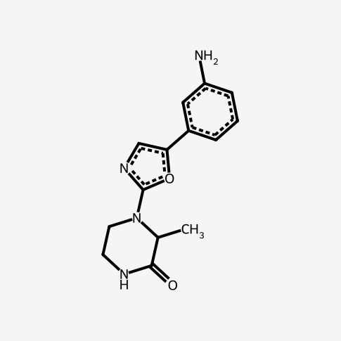 CC1C(=O)NCCN1c1ncc(-c2cccc(N)c2)o1